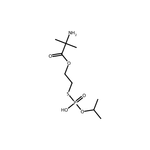 CC(C)OP(=O)(O)SCCOC(=O)C(C)(C)N